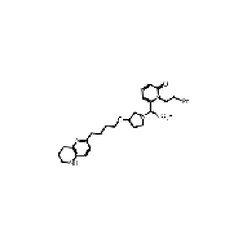 CC(C)CCn1c(C(C(=O)O)N2CC[C@@H](OCCCCc3ccc4c(n3)CCCN4)C2)cccc1=O